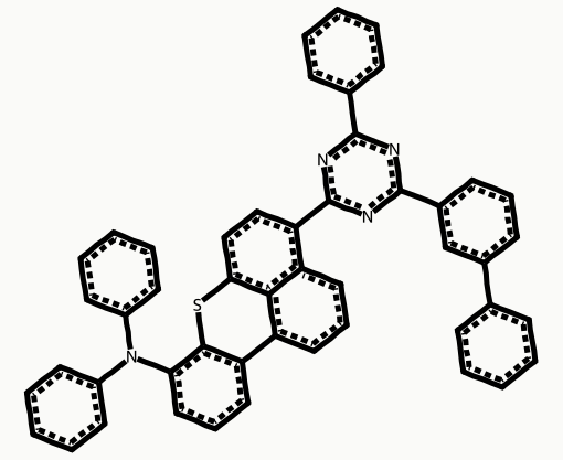 c1ccc(-c2cccc(-c3nc(-c4ccccc4)nc(-c4ccc5c6c(cccc46)-c4cccc(N(c6ccccc6)c6ccccc6)c4S5)n3)c2)cc1